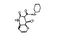 O=C1Nc2cccnc2C(=O)C1C(=O)NC1CCCCC1